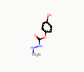 CCOC(=O)NNC(=O)Oc1ccc(O)cc1